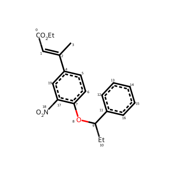 CCOC(=O)C=C(C)c1ccc(OC(CC)c2ccccc2)c([N+](=O)[O-])c1